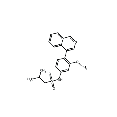 COc1cc(NS(=O)(=O)CC(C)C)ccc1-c1cncc2ccccc12